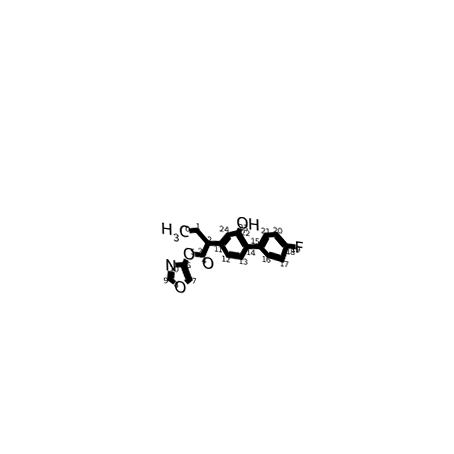 CCC(C(=O)Oc1cocn1)c1ccc(-c2ccc(F)cc2)c(O)c1